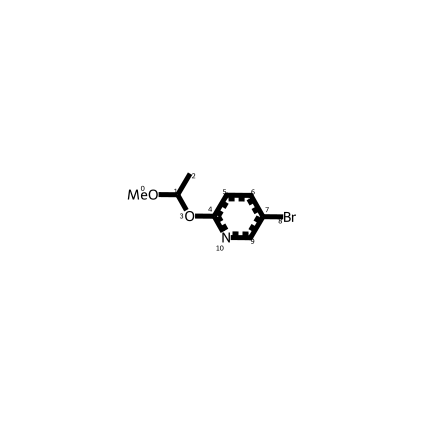 COC(C)Oc1ccc(Br)cn1